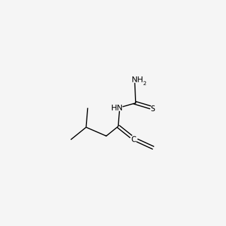 C=C=C(CC(C)C)NC(N)=S